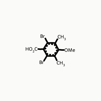 COc1c(C)c(Br)c(C(=O)O)c(Br)c1C